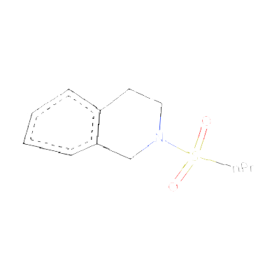 CCCS(=O)(=O)N1CCc2c[c]ccc2C1